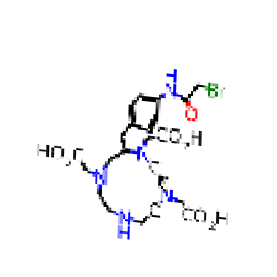 O=C(O)CN1CCNCCN(CC(=O)O)CC(Cc2ccc(NC(=O)CBr)cc2)N(CC(=O)O)CC1